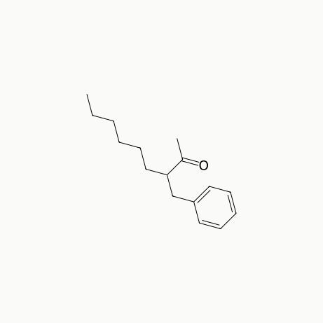 CCCCCCC(Cc1ccccc1)C(C)=O